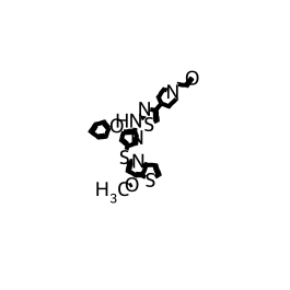 COc1cc(Sc2cnc(Nc3nc(C4CCN(CC=O)CC4)cs3)c(Oc3ccccc3)c2)nc2ccsc12